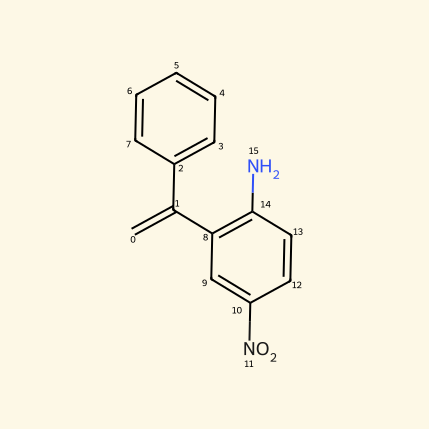 C=C(c1ccccc1)c1cc([N+](=O)[O-])ccc1N